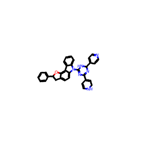 C1=CC(C2=NC(c3ccncc3)NC(n3c4ccccc4c4c5c(ccc43)CC(c3ccccc3)O5)=N2)=CCN1